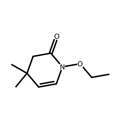 CCON1C=CC(C)(C)CC1=O